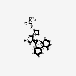 N[S+]([O-])NC[C@@H]1CCN1C(=O)C1(CO)CC1c1ccc(F)cc1-c1c(F)cccc1F